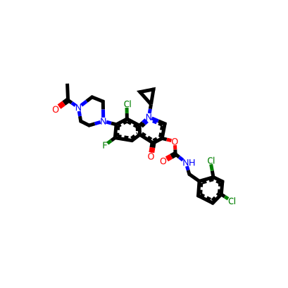 CC(=O)N1CCN(c2c(F)cc3c(=O)c(OC(=O)NCc4ccc(Cl)cc4Cl)cn(C4CC4)c3c2Cl)CC1